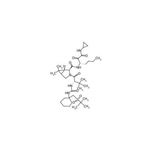 CCCC[C@H](NC(=O)[C@@H]1[C@@H]2C(CN1C(=O)[C@@H](NC(=O)NC1(CS(=O)(=O)C(C)(C)C)CCCCC1)C(C)(C)C)C2(C)C)C(=O)C(=O)NC1CC1